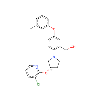 Cc1cccc(Oc2ccc(N3CC[C@H](Oc4ncccc4Cl)C3)c(CO)c2)c1